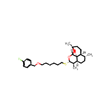 C[C@H]1[C@H](SCCCCCCOCc2ccc(F)cc2)O[C@@H]2O[C@@]3(C)CC[C@H]4[C@H](C)CC[C@@H]1[C@@]24OO3